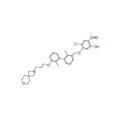 Cc1c(COc2cc(O)c(C=O)cc2Cl)cccc1-c1cccc(OCCCN2CC3(CCOCC3)C2)c1C